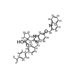 CC(C)c1ccc(-c2ccc(Cn3c(CC4(C(=O)O)CCCC4)nc4cc(OCc5ccc6ccccc6n5)ccc43)cc2)cc1